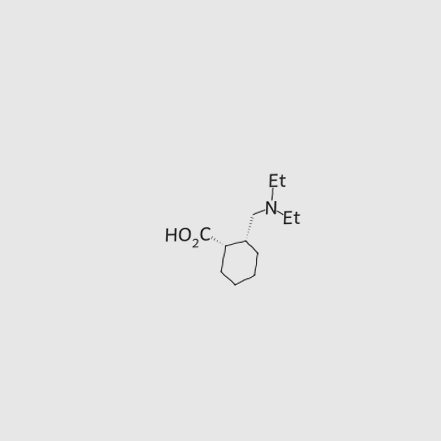 CCN(CC)C[C@@H]1CCCC[C@@H]1C(=O)O